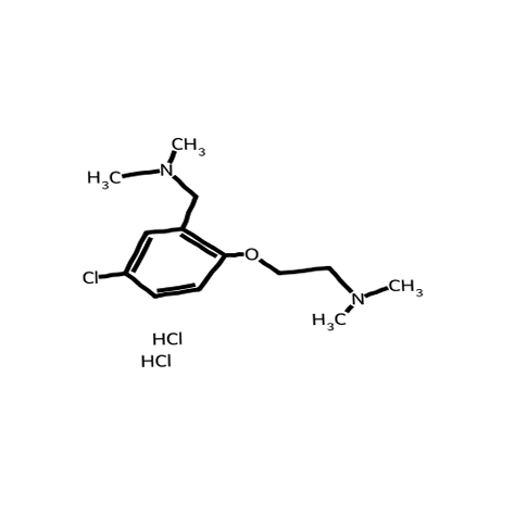 CN(C)CCOc1ccc(Cl)cc1CN(C)C.Cl.Cl